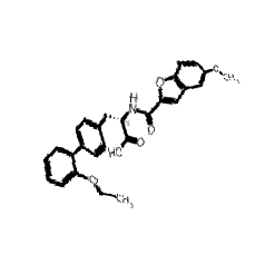 CCOc1ccccc1-c1ccc(C[C@H](NC(=O)c2cc3cc(OC)ccc3o2)C(=O)O)cc1